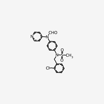 CS(=O)(=O)N(Cc1ccccc1Cl)c1ccc(N(C=O)c2ccncc2)cc1